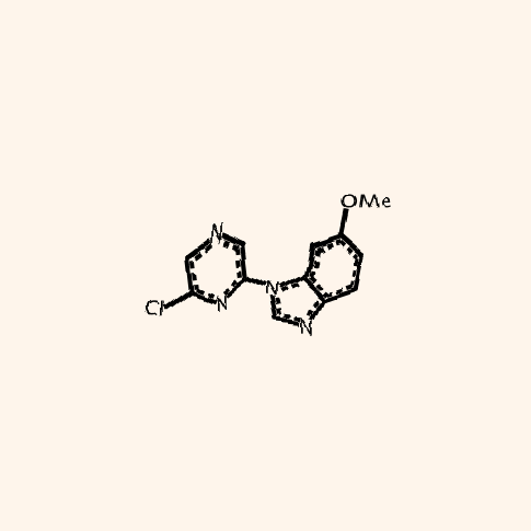 COc1ccc2ncn(-c3cncc(Cl)n3)c2c1